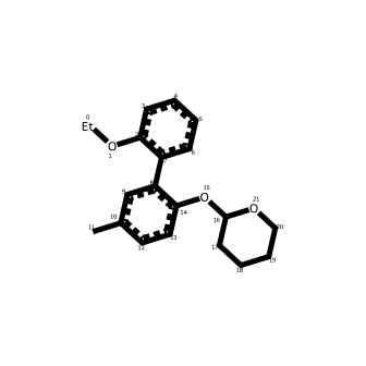 CCOc1ccccc1-c1cc(C)ccc1OC1CCCCO1